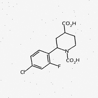 O=C(O)C1CCN(C(=O)O)C(c2ccc(Cl)cc2F)C1